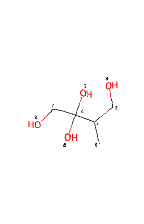 CC(CO)C(O)(O)CO